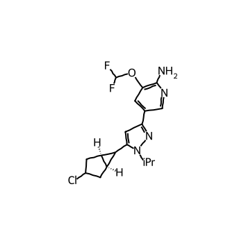 CC(C)n1nc(-c2cnc(N)c(OC(F)F)c2)cc1C1[C@H]2CC(Cl)C[C@@H]12